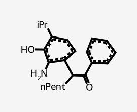 CCCCCC(C(=O)c1ccccc1)c1ccc(C(C)C)c(O)c1N